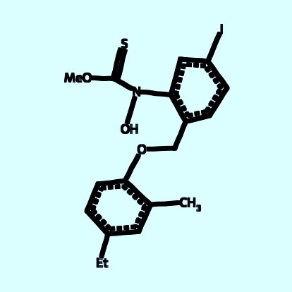 CCc1ccc(OCc2ccc(I)cc2N(O)C(=S)OC)c(C)c1